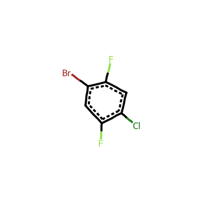 Fc1cc(Br)c(F)cc1Cl